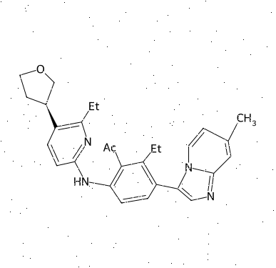 CCc1nc(Nc2ccc(-c3cnc4cc(C)ccn34)c(CC)c2C(C)=O)ccc1[C@H]1CCOC1